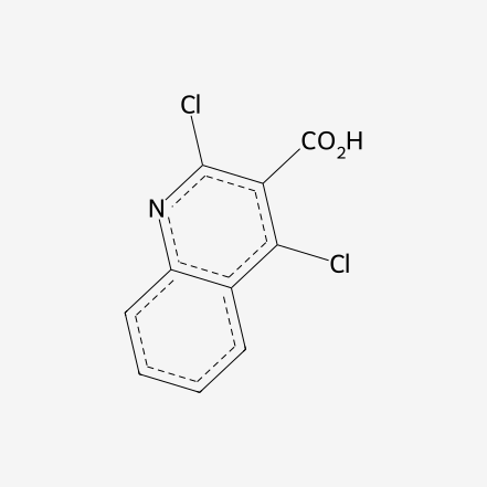 O=C(O)c1c(Cl)nc2ccccc2c1Cl